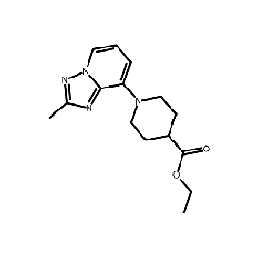 CCOC(=O)C1CCN(c2cccn3nc(C)nc23)CC1